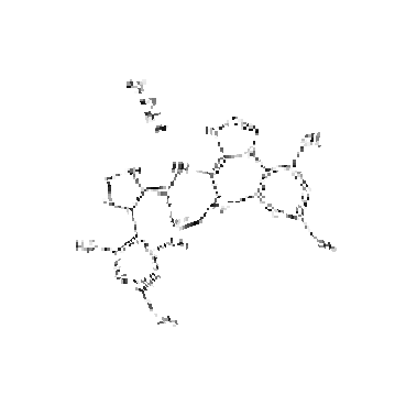 Cc1cc(C)c(N2C=CNC2=C2C=CCC(=C3NC=CN3c3c(C)cc(C)cc3C)N2)c(C)c1.[Ag+].[Ag+].[Br-].[Br-]